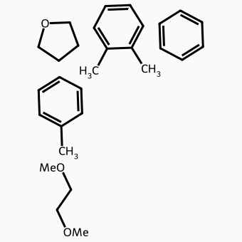 C1CCOC1.COCCOC.Cc1ccccc1.Cc1ccccc1C.c1ccccc1